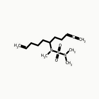 C=C=CCCC(CCCC=C)N(C)S(=O)(=O)N(C)C